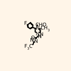 C[C@@H]1c2nnc(-c3nc(CC(F)(F)F)no3)n2CC(c2ccc(F)cc2)N1C=O